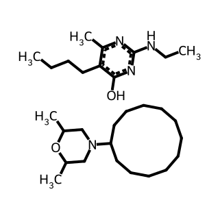 CC1CN(C2CCCCCCCCCCC2)CC(C)O1.CCCCc1c(C)nc(NCC)nc1O